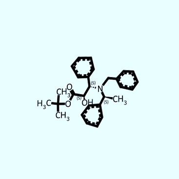 C[C@@H](c1ccccc1)N(Cc1ccccc1)[C@@H](c1ccccc1)[C@H](O)C(=O)OC(C)(C)C